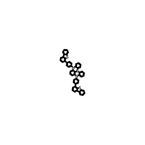 c1ccc2c(c1)B1c3ccccc3N(c3ccc(-c4cccc5c4sc4ccccc45)cc3)c3cccc(c31)N2c1ccc(-c2cccc3c2sc2ccccc23)cc1